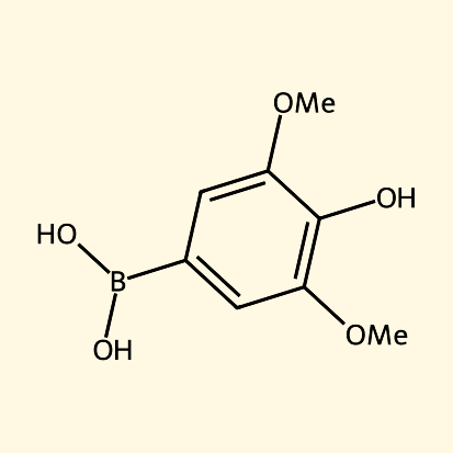 COc1cc(B(O)O)cc(OC)c1O